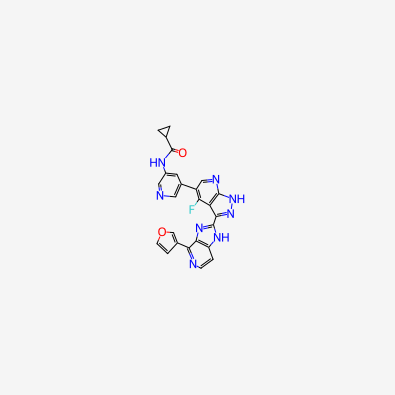 O=C(Nc1cncc(-c2cnc3[nH]nc(-c4nc5c(-c6ccoc6)nccc5[nH]4)c3c2F)c1)C1CC1